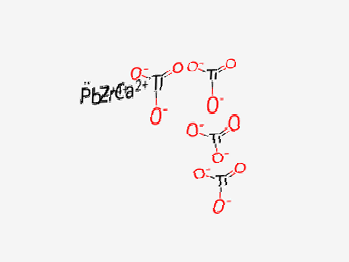 [Ca+2].[O]=[Ti]([O-])[O-].[O]=[Ti]([O-])[O-].[O]=[Ti]([O-])[O-].[O]=[Ti]([O-])[O-].[Pb+2].[Zr+4]